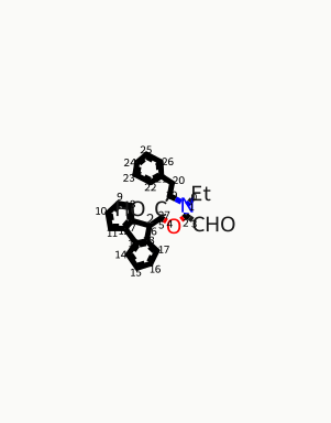 CCN(C(C=O)OCC1c2ccccc2-c2ccccc21)[C@@H](Cc1ccccc1)C(=O)O